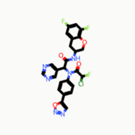 O=C(NC1COc2c(F)cc(F)cc2C1)C(c1cncnc1)N(C(=O)C(F)Cl)c1ccc(-c2cnno2)cc1